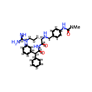 CNC(=O)Nc1ccc(CN[C@@H](CCCNC(=N)N)C(=O)NC(=O)C(c2ccccc2)c2ccccc2)cc1